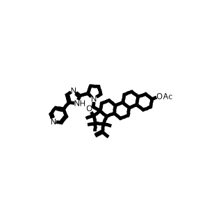 C=C(C)C1(C)C2C3CCC4C5CCC(OC(C)=O)CC5CCC4C3CCC2(C(=O)N2CCCC2c2ncc(-c3ccncc3)[nH]2)C(C)(C)C1(C)C